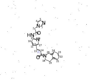 O=C(Cn1ccnc1)Nc1ccc(/C=C/C(=O)N2CCc3ccccc3C2)cn1